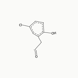 O=[C]Cc1cc(Cl)ccc1O